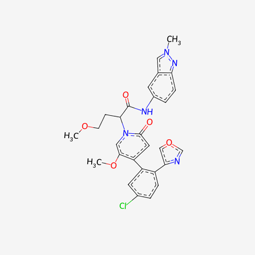 COCCC(C(=O)Nc1ccc2nn(C)cc2c1)n1cc(OC)c(-c2cc(Cl)ccc2-c2cocn2)cc1=O